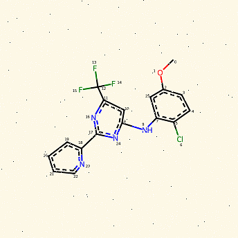 COc1ccc(Cl)c(Nc2cc(C(F)(F)F)nc(-c3ccccn3)n2)c1